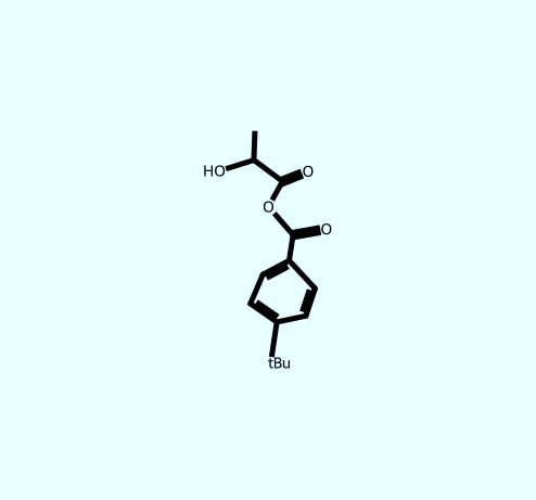 CC(O)C(=O)OC(=O)c1ccc(C(C)(C)C)cc1